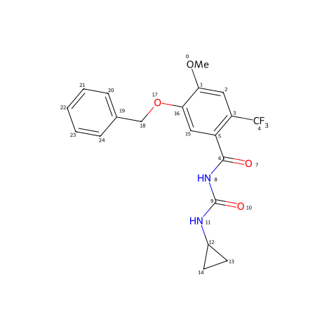 COc1cc(C(F)(F)F)c(C(=O)NC(=O)NC2CC2)cc1OCc1ccccc1